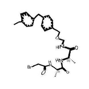 Cc1ccc(Cc2ccc(COCNC(=O)[C@H](C)NC(=O)[C@H](C)NC(=O)CBr)cc2)cc1